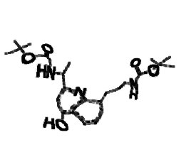 CC(NC(=O)OC(C)(C)C)c1cc(O)c2cccc(CCCNC(=O)OC(C)(C)C)c2n1